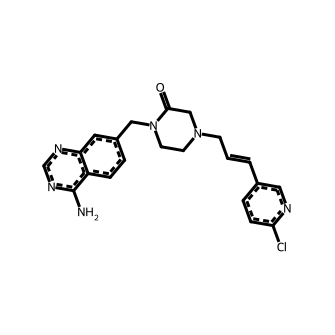 Nc1ncnc2cc(CN3CCN(CC=Cc4ccc(Cl)nc4)CC3=O)ccc12